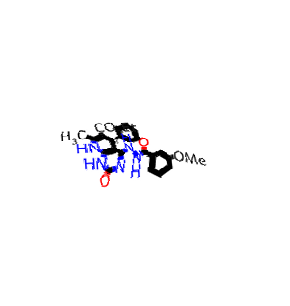 CCOC(=O)C1=C(C)Nc2[nH]c(=O)nc(NNC(=O)c3cccc(OC)c3)c2[C@@H]1c1ccccc1